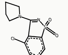 O=S1(=O)N=C(N2CCCC2)c2c(Cl)cccc21